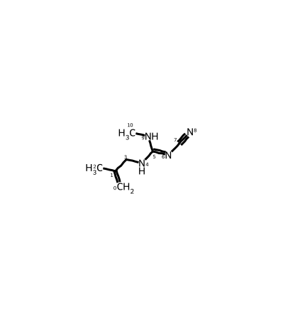 C=C(C)CN/C(=N/C#N)NC